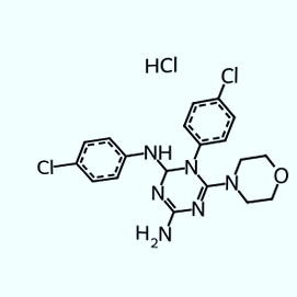 Cl.NC1=NC(Nc2ccc(Cl)cc2)N(c2ccc(Cl)cc2)C(N2CCOCC2)=N1